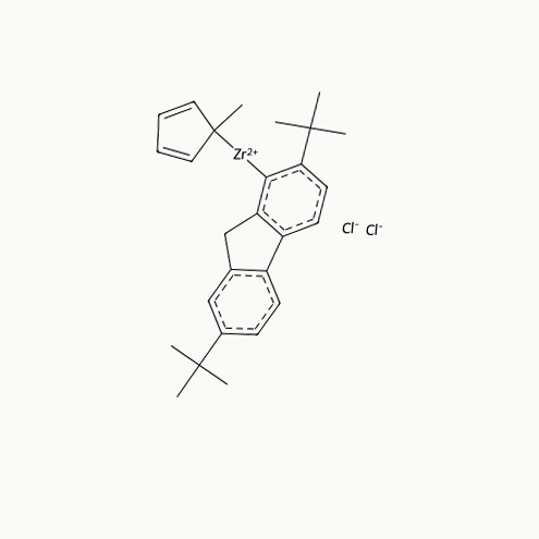 C[C]1([Zr+2][c]2c(C(C)(C)C)ccc3c2Cc2cc(C(C)(C)C)ccc2-3)C=CC=C1.[Cl-].[Cl-]